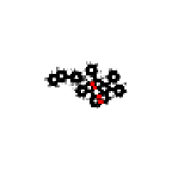 c1ccc(-c2ccc(N(c3ccc(-c4ccc5ccccc5c4)cc3)c3ccccc3-c3ccc4c(c3)c(-c3ccccc3)c(-c3ccccc3)c3ccccc34)c3ccccc23)cc1